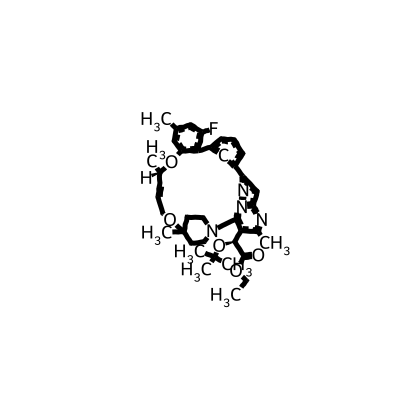 CCOC(=O)[C@@H](OC(C)(C)C)c1c(C)nc2cc3nn2c1N1CCC(C)(CC1)OC/C=C/[C@H](C)Oc1cc(C)cc(F)c1-c1cccc-3c1